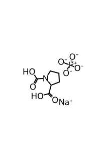 O=C(O)C1CCCN1C(=O)O.[Na+].[O-][I+3]([O-])([O-])[O-]